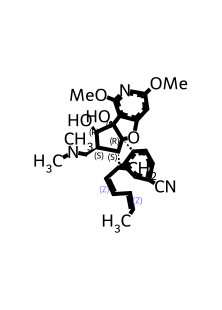 C=C(/C=C\C=C/C)[C@@H]1[C@@H](CN(C)C)[C@@H](O)[C@@]2(O)c3c(cc(OC)nc3OC)O[C@@]12c1ccc(C#N)cc1